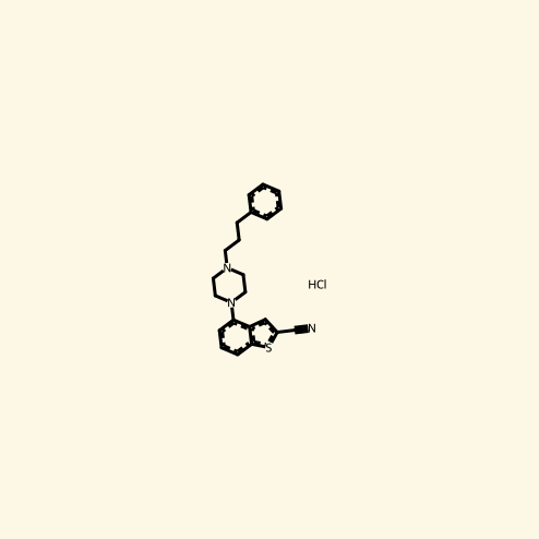 Cl.N#Cc1cc2c(N3CCN(CCCc4ccccc4)CC3)cccc2s1